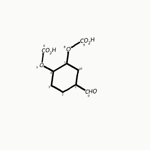 O=CC1CCC(OC(=O)O)C(OC(=O)O)C1